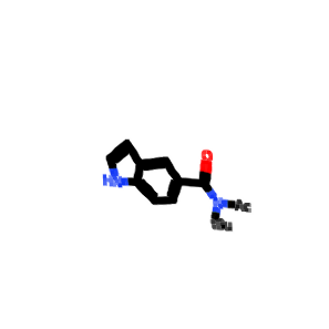 CC(=O)N(C(=O)c1ccc2[nH]ccc2c1)C(C)(C)C